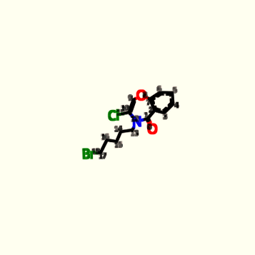 O=C1c2ccccc2OC=C(Cl)N1CCCCCBr